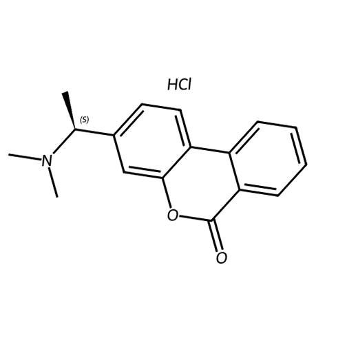 C[C@@H](c1ccc2c(c1)oc(=O)c1ccccc12)N(C)C.Cl